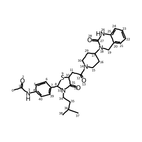 CC(=O)Nc1ccc(C2SC(CC(=O)N3CCC(N4Cc5ccccc5NC4=O)CC3)C(=O)N2CCC(C)C)cc1